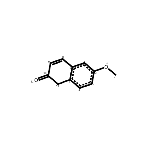 COc1ccc2c(c1)C=CC(=O)C2